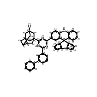 c1ccc(-c2cccc(-c3nc(-c4ccc5c(c4)C4(c6ccccc6O5)c5ccccc5-c5ccccc54)nc(C45CC6C7C[C@@H](C4)CC6(C7)C5)n3)c2)cc1